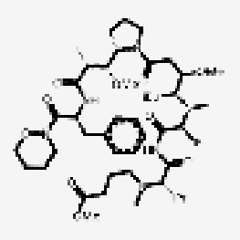 CC[C@H](C)[C@@H]([C@@H](CC(=O)N1CCC[C@H]1[C@H](OC)[C@@H](C)C(=O)N[C@@H](Cc1ccccc1)C(=O)N1CCCCO1)OC)N(C)[C@H](C(=O)NC(=O)[C@H](C(C)C)N(C)CCCC(=O)OC)C(C)C